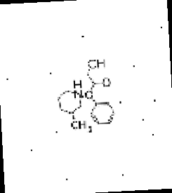 C[C@H]1CCCNC1.O=C(CO)Oc1ccccc1